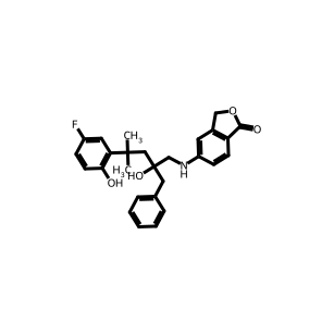 CC(C)(CC(O)(CNc1ccc2c(c1)COC2=O)Cc1ccccc1)c1cc(F)ccc1O